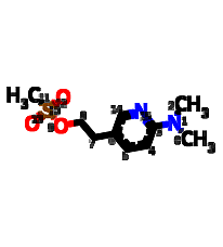 CN(C)c1ccc(CCOS(C)(=O)=O)cn1